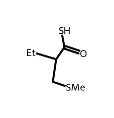 CCC(CSC)C(=O)S